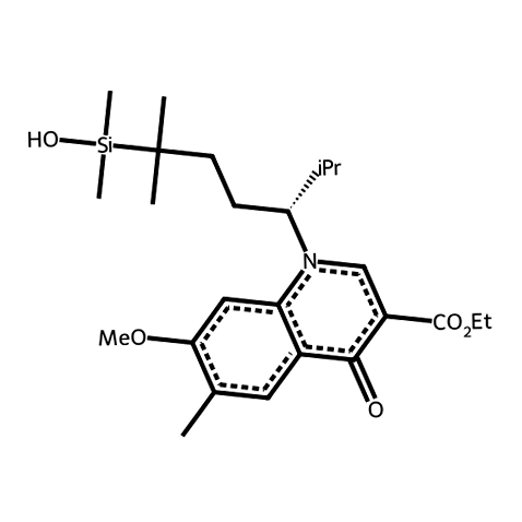 CCOC(=O)c1cn([C@H](CCC(C)(C)[Si](C)(C)O)C(C)C)c2cc(OC)c(C)cc2c1=O